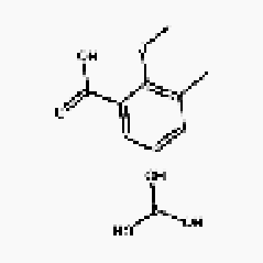 COc1c(C)cccc1C(=O)O.OB(O)O